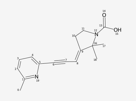 Cc1cccc(C#C/C=C2\CCN(C(=O)O)C2(C)C)n1